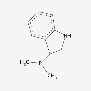 CP(C)C1CNc2ccccc21